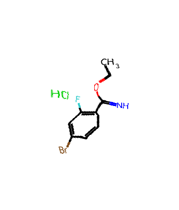 CCOC(=N)c1ccc(Br)cc1F.Cl